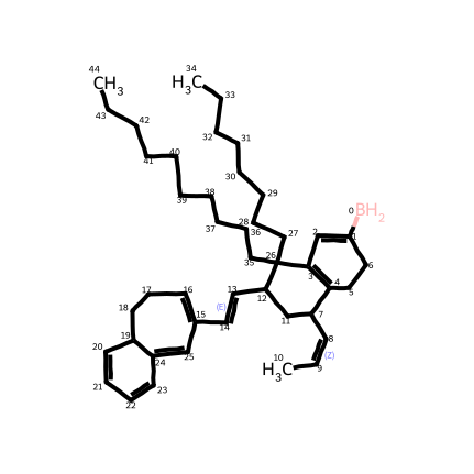 BC1=CC2=C(CC1)C(/C=C\C)CC(/C=C/C1=CCCC3C=CC=CC3=C1)C2(CCCCCCCC)CCCCCCCCCC